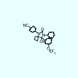 N#Cc1ccc(N2C(=O)N(c3ccccc3)C(O)(c3cccc(OC(F)(F)F)c3)C23CCC3)cc1